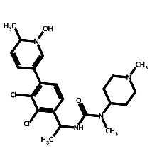 CC(NC(=O)N(C)C1CCN(C)CC1)c1ccc(C2=CN(O)C(C)C=C2)c(Cl)c1Cl